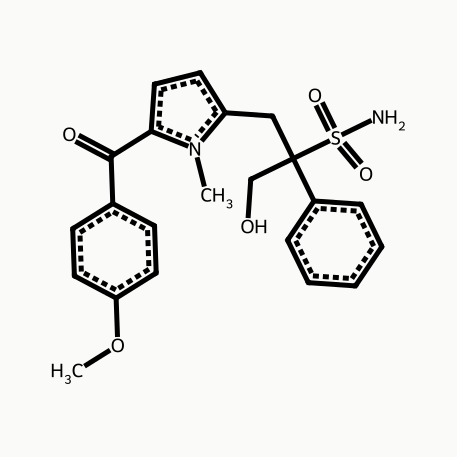 COc1ccc(C(=O)c2ccc(CC(CO)(c3ccccc3)S(N)(=O)=O)n2C)cc1